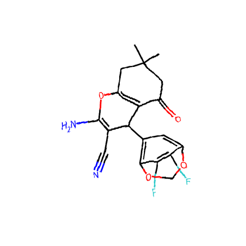 CC1(C)CC(=O)C2=C(C1)OC(N)=C(C#N)C2c1cc2c(F)c(F)c1OCO2